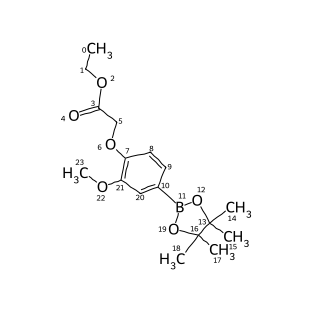 CCOC(=O)COc1ccc(B2OC(C)(C)C(C)(C)O2)cc1OC